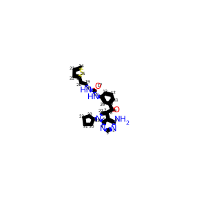 Nc1ncnc2c1c(C(=O)c1cccc(NC(=O)NCCc3cccs3)c1)cn2C1CCCC1